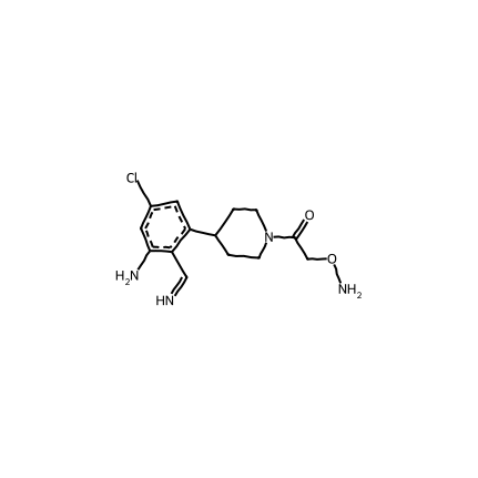 N=Cc1c(N)cc(Cl)cc1C1CCN(C(=O)CON)CC1